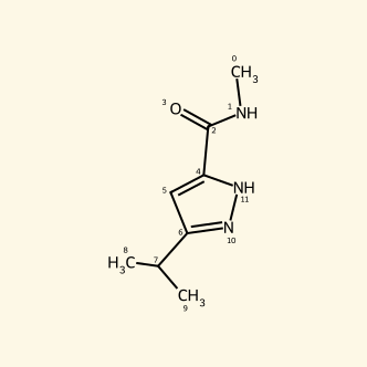 CNC(=O)c1cc(C(C)C)n[nH]1